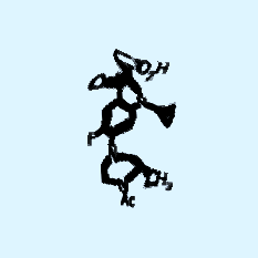 CC(=O)N1CCN(c2cc3c(cc2F)c(=O)c(C(=O)O)cn3C2CC2)CC1C